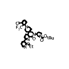 CCOc1ncccc1-c1ccc2c(n1)C(=O)N(C1CCN(C(=O)OC(C)(C)C)C1)CC21CCN(c2cccc(Cl)c2C(F)(F)F)CC1